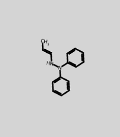 CC=CNN(c1ccccc1)c1ccccc1